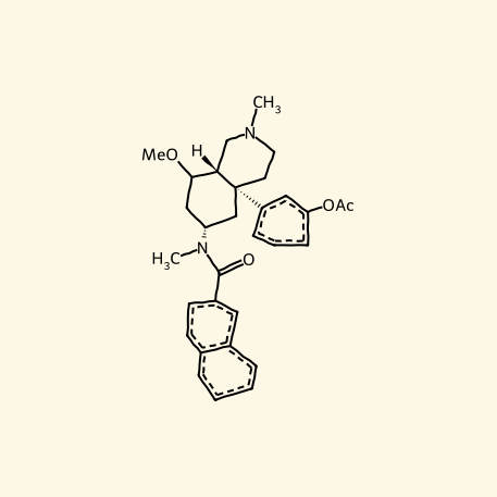 COC1C[C@@H](N(C)C(=O)c2ccc3ccccc3c2)C[C@]2(c3cccc(OC(C)=O)c3)CCN(C)C[C@@H]12